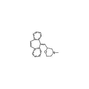 CN1CCOC(C=C2c3ccccc3C=Cc3ccccc32)C1